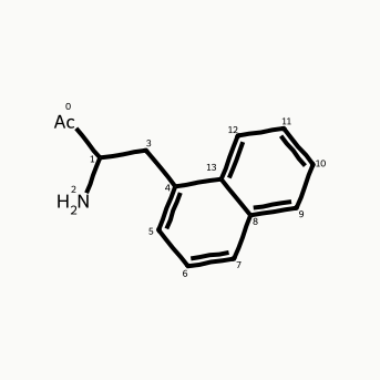 CC(=O)C(N)Cc1cccc2ccccc12